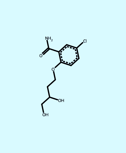 NC(=O)c1cc(Cl)ccc1OCCC(O)CO